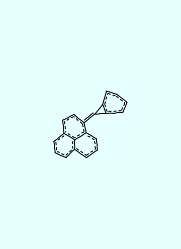 c1ccc2c(c1)C2=c1ccc2cccc3cccc1c32